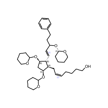 OCCCC/C=C\C[C@@H]1[C@@H](/C=C/C(CCc2ccccc2)O[C@H]2CCCCO2)[C@H](OC2CCCCO2)C[C@@H]1OC1CCCCO1